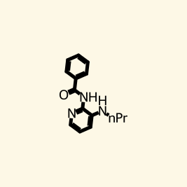 CCCNc1cccnc1NC(=O)c1ccccc1